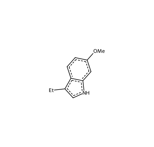 CCc1c[nH]c2cc(OC)ccc12